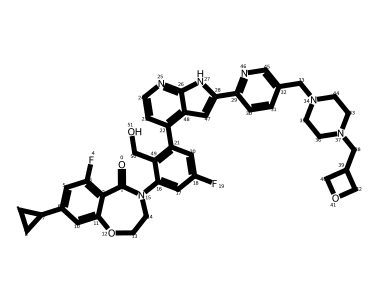 O=C1c2c(F)cc(C3CC3)cc2OCCN1c1cc(F)cc(-c2ccnc3[nH]c(-c4ccc(CN5CCN(CC6COC6)CC5)cn4)cc23)c1CO